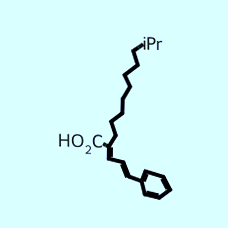 CC(C)CCCCCCCCC(=CC=Cc1ccccc1)C(=O)O